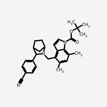 Cc1cc(C)c2c(ccn2C(=O)OC(C)(C)C)c1CN1C2CCC(C2)C1c1ccc(C#N)cc1